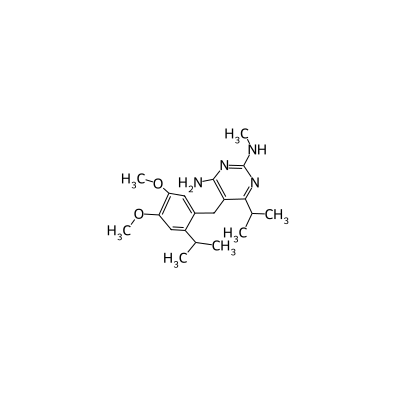 CNc1nc(N)c(Cc2cc(OC)c(OC)cc2C(C)C)c(C(C)C)n1